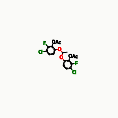 CC(=O)Oc1c(OC(C)Oc2ccc(Cl)c(F)c2OC(C)=O)ccc(Cl)c1F